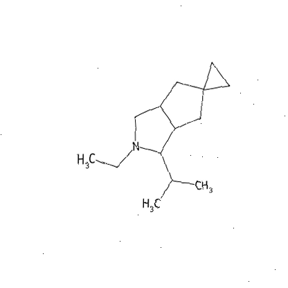 CCN1CC2CC3(CC3)CC2C1C(C)C